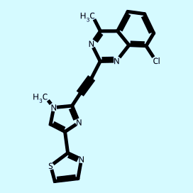 Cc1nc(C#Cc2nc(-c3nccs3)cn2C)nc2c(Cl)cccc12